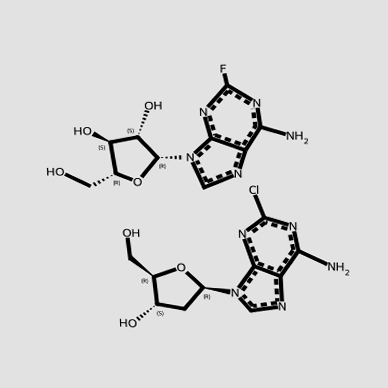 Nc1nc(Cl)nc2c1ncn2[C@H]1C[C@H](O)[C@@H](CO)O1.Nc1nc(F)nc2c1ncn2[C@@H]1O[C@H](CO)[C@@H](O)[C@@H]1O